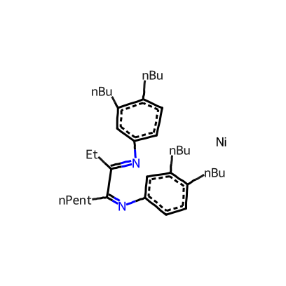 CCCCCC(=Nc1ccc(CCCC)c(CCCC)c1)C(CC)=Nc1ccc(CCCC)c(CCCC)c1.[Ni]